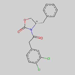 O=C(Cc1ccc(Cl)c(Cl)c1)N1C(=O)OC[C@@H]1Cc1ccccc1